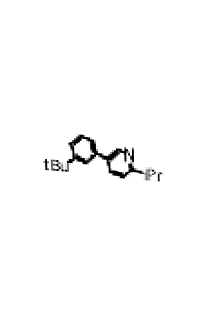 CC(C)c1ccc(-c2cccc(C(C)(C)C)c2)cn1